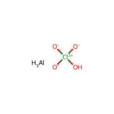 [AlH3].[O-][Cl+3]([O-])([O-])O